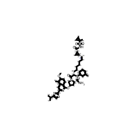 COc1ccc2c(O[C@@H]3C[C@@H](C(N)=O)N(C(=O)[C@H](CCCCC/C=C\[C@@H]4C[C@@H]4C(=O)NS(=O)(=O)C4(C)CC4)Nc4cccc(F)c4)C3)nc(-c3nc(C(C)C)cs3)cc2c1C